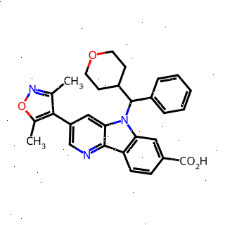 Cc1noc(C)c1-c1cnc2c3ccc(C(=O)O)cc3n(C(c3ccccc3)C3CCOCC3)c2c1